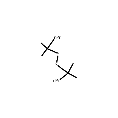 CCCC(C)(C)SSC(C)(C)CCC